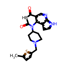 Cc1ccc(CN2CCC(N3C(=O)BC(=O)c4cnc5[nH]ccc5c43)CC2)s1